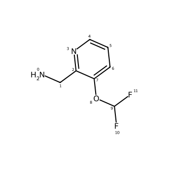 NCc1ncccc1OC(F)F